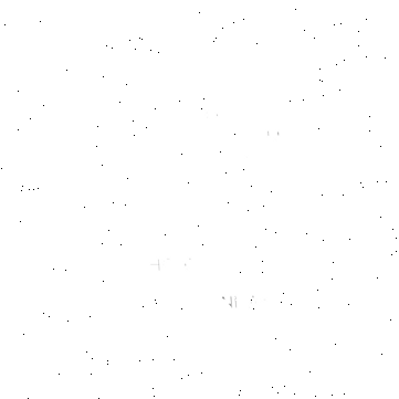 CC(=O)NC(Cc1ccc2c(c1)OCCO2)C(=O)O